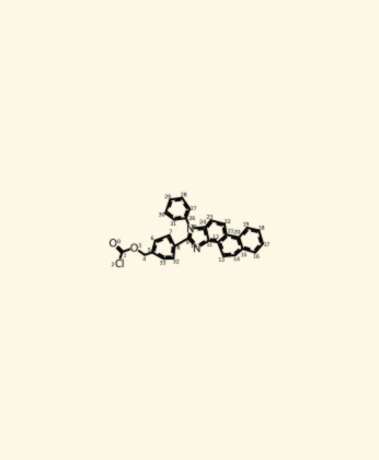 O=C(Cl)OCc1ccc(-c2nc3c4ccc5ccccc5c4ccc3n2-c2ccccc2)cc1